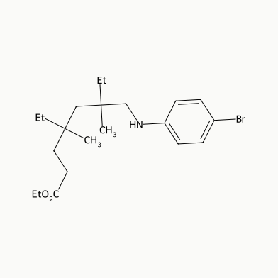 CCOC(=O)CCC(C)(CC)CC(C)(CC)CNc1ccc(Br)cc1